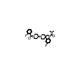 CN(C)C(=O)N1CC2(CCN(C3CCN(C(=O)c4ccccc4F)CC3)CC2)c2cc(F)ccc21